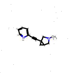 CN1CC2CC2(C#Cc2ccccn2)C1